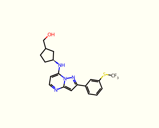 OCC1CC[C@H](Nc2ccnc3cc(-c4cccc(SC(F)(F)F)c4)nn23)C1